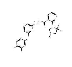 CC1CN(c2ncccc2C(=O)NS(=O)(=O)c2cccc(Oc3ccc(Cl)c(Cl)c3)n2)C(C)(C)C1